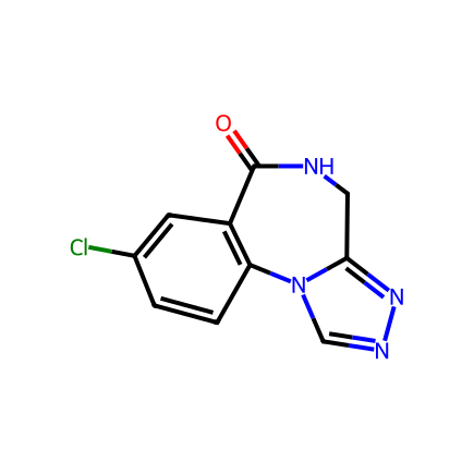 O=C1NCc2nncn2-c2ccc(Cl)cc21